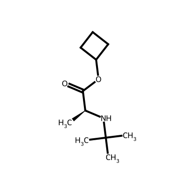 C[C@H](NC(C)(C)C)C(=O)OC1CCC1